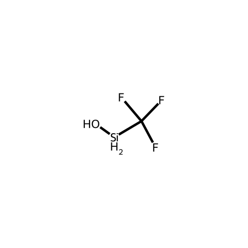 O[SiH2]C(F)(F)F